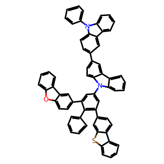 c1ccc(-c2c(-c3ccc4c(c3)sc3ccccc34)cc(-n3c4ccccc4c4cc(-c5ccc6c(c5)c5ccccc5n6-c5ccccc5)ccc43)cc2-c2ccc3oc4ccccc4c3c2)cc1